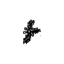 O=c1c2c(Cl)c3c(=O)n(CC(F)(F)C(F)(F)C(F)(F)F)c(=O)c3c(C(F)(F)C(F)(F)C(F)(F)C(F)(F)F)c2c(=O)n1CC(F)(F)C(F)(F)C(F)(F)F